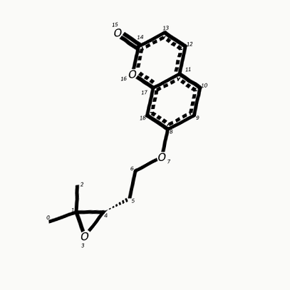 CC1(C)O[C@H]1CCOc1ccc2ccc(=O)oc2c1